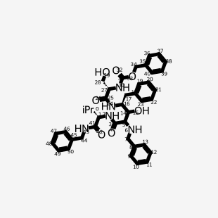 CC(C)[C@H](NC(=O)C(NCc1ccccc1)C(O)[C@H](Cc1ccccc1)NC(=O)[C@H](CO)NC(=O)OCc1ccccc1)C(=O)NCc1ccccc1